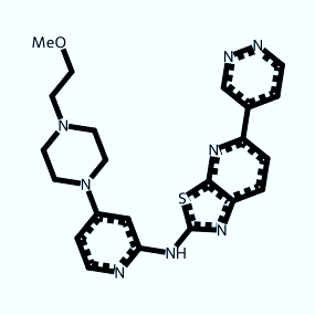 COCCN1CCN(c2ccnc(Nc3nc4ccc(-c5ccnnc5)nc4s3)c2)CC1